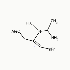 CCC/C=C(/COC)N(C)C(C)N